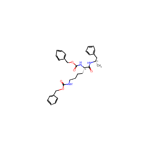 C[C@@H](Cc1ccccc1)NC(=O)[C@H](CCCCNC(=O)OCc1ccccc1)NC(=O)OCc1ccccc1